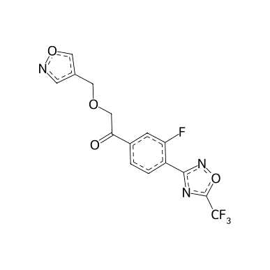 O=C(COCc1cnoc1)c1ccc(-c2noc(C(F)(F)F)n2)c(F)c1